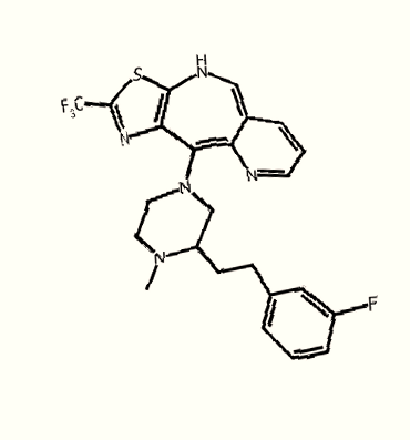 CN1CCN(C2=c3ncccc3=CNc3sc(C(F)(F)F)nc32)CC1CCc1cccc(F)c1